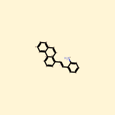 Nc1ccccc1/C=C/c1cccc2c1ccc1ccccc12